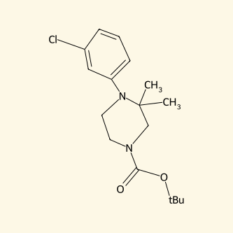 CC(C)(C)OC(=O)N1CCN(c2cccc(Cl)c2)C(C)(C)C1